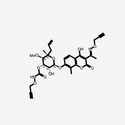 C#CCON=C(C)c1c(O)c2ccc(O[C@@H]3O[C@@](C)(CC=C)[C@H](OC)[C@@H](OC(=O)NOCC#C)[C@H]3O)c(C)c2oc1=O